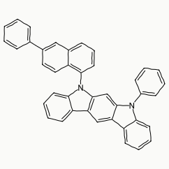 c1ccc(-c2ccc3c(-n4c5ccccc5c5cc6c7ccccc7n(-c7ccccc7)c6cc54)cccc3c2)cc1